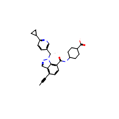 CC#Cc1ccc(C(=O)NC2CCC(C(=O)O)CC2)c2c1cnn2[C@@H](C)c1ccc(C2CC2)nc1